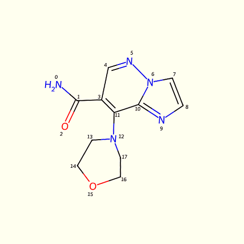 NC(=O)c1cnn2ccnc2c1N1CCOCC1